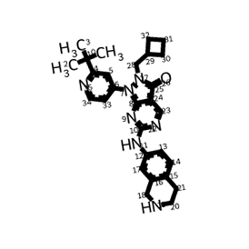 CC(C)(C)c1cc(-n2c3nc(Nc4ccc5c(c4)CNCC5)ncc3c(=O)n2CC2CCC2)ccn1